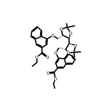 CCOC(=O)c1cc(OC[C@@H]2OC(C)(C)O[C@H]2[C@H]2OC(C)(C)O[C@@H]2COc2cc(C(=O)OCC)cc3ccccc23)c2ccccc2c1